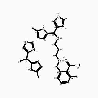 Cc1ccc(C(I)c2cocn2)s1.Cc1ccc(C(OCCCOCc2cccc(C)c2C(=O)O)c2cocn2)s1